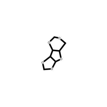 C1OCC2OC3OCOC3C2O1